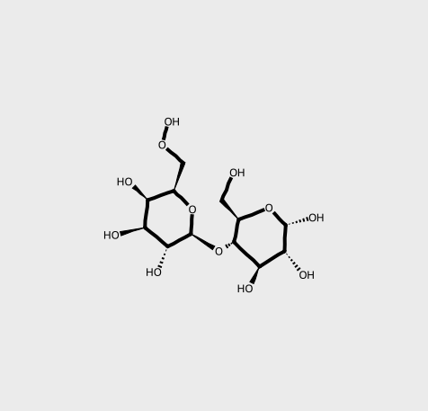 OC[C@H]1O[C@H](O)[C@H](O)[C@@H](O)[C@@H]1O[C@@H]1O[C@H](COO)[C@H](O)[C@H](O)[C@H]1O